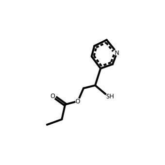 CCC(=O)OCC(S)c1cccnc1